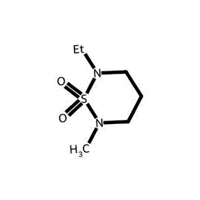 CCN1CCCN(C)S1(=O)=O